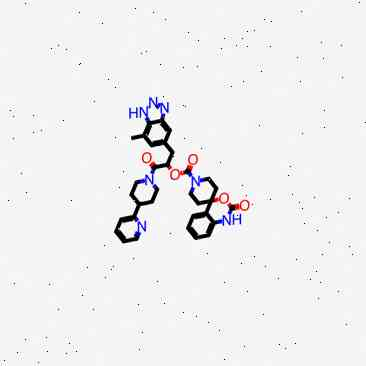 Cc1cc(CC(OC(=O)N2CCC3(CC2)OC(=O)Nc2ccccc23)C(=O)N2CCC(c3ccccn3)CC2)cc2nn[nH]c12